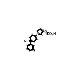 N#CC1(c2cccc(F)c2)CCC(N2CC[C@H](NC(=O)O)C2)CC1